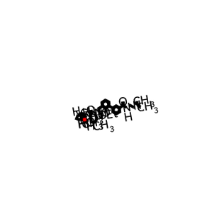 CCOc1c(CN2OC[C@H]([C@H](C)O)[C@H]2C(=O)N[C@H]2C[C@H]3C[C@@H]([C@@H]2C)C3(C)C)cccc1-c1cccc(C(=O)NCCN(C)C)c1